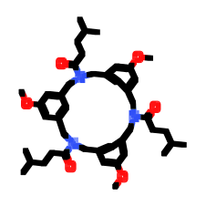 COc1cc2cc(c1)CN(C(=O)CCC(C)C)Cc1cc(cc(OC)c1)CN(C(=O)CCC(C)C)Cc1cc(cc(OC)c1)CN(C(=O)CCC(C)C)C2